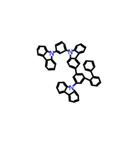 c1ccc(-c2ccccc2-c2cc(-c3ccc4c(c3)c3ccccc3n4-c3cccc(-n4c5ccccc5c5ccccc54)c3)cc(-n3c4ccccc4c4ccccc43)c2)cc1